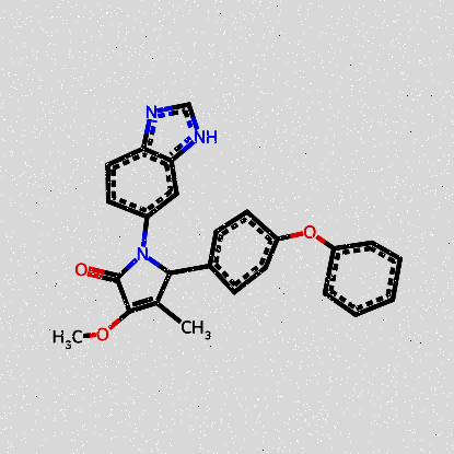 COC1=C(C)C(c2ccc(Oc3ccccc3)cc2)N(c2ccc3nc[nH]c3c2)C1=O